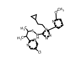 COc1cccc(-c2nnc(NSC(C)C(C)c3ncc(Cl)cn3)n2CCC2CC2)n1